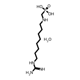 N=C(N)NCCCCCCCCNCP(=O)(O)O.O